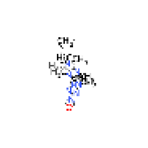 [CH2]CCCCCN1C(C)(C)CC([N])C(=NC2CC(C)(C)N3c4nc(nc(N5CCOCC5)n4)C2C3(C)C)C1(C)C